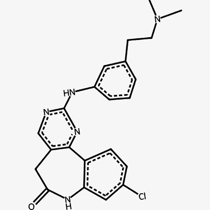 CN(C)CCc1cccc(Nc2ncc3c(n2)-c2ccc(Cl)cc2NC(=O)C3)c1